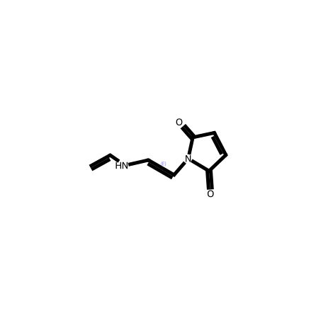 C=CN/C=C/N1C(=O)C=CC1=O